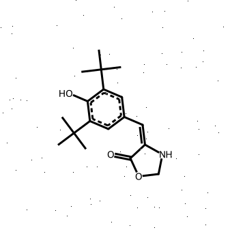 CC(C)(C)c1cc(C=C2NCOC2=O)cc(C(C)(C)C)c1O